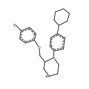 Clc1ccc(OCC2CNCCN2c2ccc(C3CCCCC3)cc2)cc1